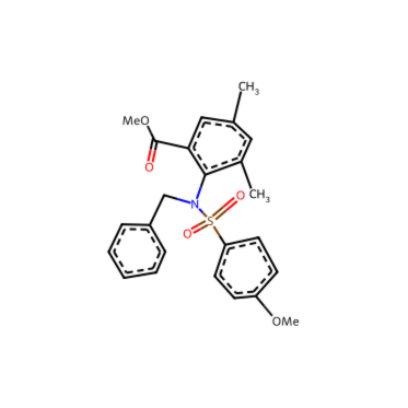 COC(=O)c1cc(C)cc(C)c1N(Cc1ccccc1)S(=O)(=O)c1ccc(OC)cc1